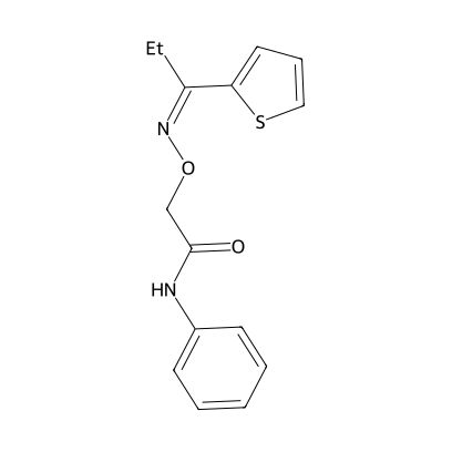 CCC(=NOCC(=O)Nc1ccccc1)c1cccs1